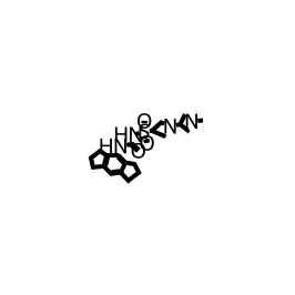 CN1CC(N2CC(S(=O)(=O)NC(=O)Nc3c4c(cc5c3CCC5)CCC4)C2)C1